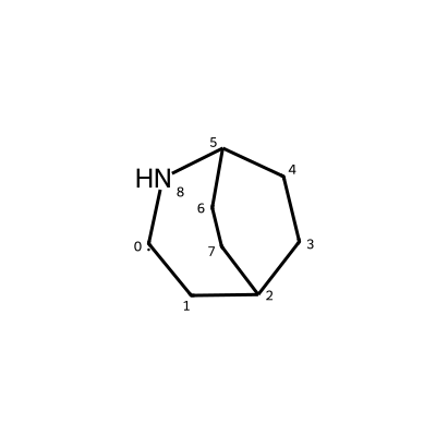 [CH]1CC2CCC(CC2)N1